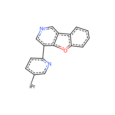 CC(C)c1ccc(-c2cncc3c2oc2ccccc23)nc1